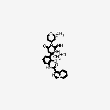 C[C@@H]1C[C@H](N2C(=N)N[C@](C)(c3cccc(NC(=O)c4ncn5ccccc45)c3Cl)CC2=O)CCO1.Cl